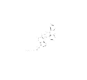 Cc1ccc(C(Sc2nc3c(s2)CCc2c(OCC(=O)O)cccc2-3)c2ccccc2)cc1